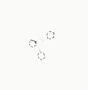 CCC(=O)N1CCc2cc(OC)c(OC)cc2C1CC(c1ccccc1)c1ccccc1